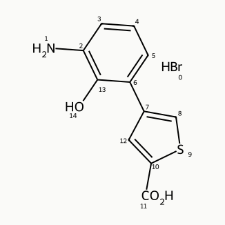 Br.Nc1cccc(-c2csc(C(=O)O)c2)c1O